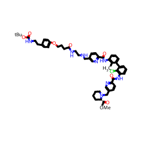 COC(=O)[C@@H]1CCCCN1Cc1ccc(C(=O)Nc2cccc(-c3cccc(NC(=O)c4ccc(CNCCNC(=O)CCCOc5ccc(CCNC(=O)OC(C)(C)C)cc5)cn4)c3C)c2Cl)nc1